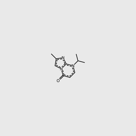 Cc1cn2c(=O)ccn(C(C)C)c2n1